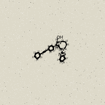 OC[C@@H]1[C@H](c2ccc(C#Cc3ccccc3)cc2)[C@@H]2CN(c3nc4ccccc4s3)CCCCN12